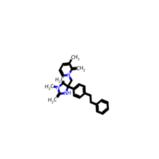 C=C1C(C)=CC=CN1CC1(c2ccc(CCc3ccccc3)cc2)NC(=C)N(C)C1=C